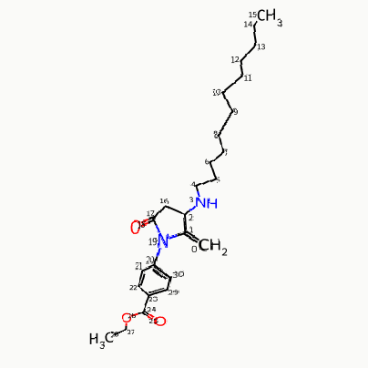 C=C1C(NCCCCCCCCCCCC)CC(=O)N1c1ccc(C(=O)OCC)cc1